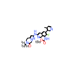 [2H]C([2H])([2H])N1CCc2cc(Nc3cc4cc(-c5cnccc5C)c(F)c(NC(=O)OC(C)(C)C)c4cn3)nn2CC1=O